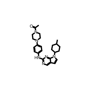 CC(=O)N1CCN(c2ccc(Nc3ncc4ccn(C5CCC(C)CC5)c4n3)cc2)CC1